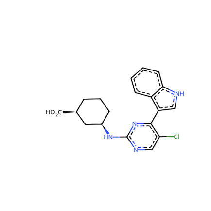 O=C(O)[C@H]1CCC[C@@H](Nc2ncc(Cl)c(-c3c[nH]c4ccccc34)n2)C1